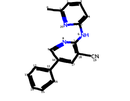 Cc1cccc(Nc2ncc(-c3ccccc3)cc2C#N)n1